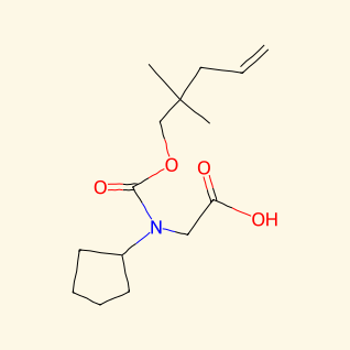 C=CCC(C)(C)COC(=O)N(CC(=O)O)C1CCCC1